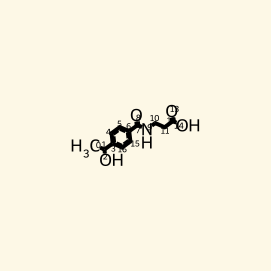 CC(O)c1ccc(C(=O)NCCC(=O)O)cc1